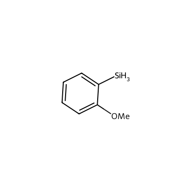 COc1ccccc1[SiH3]